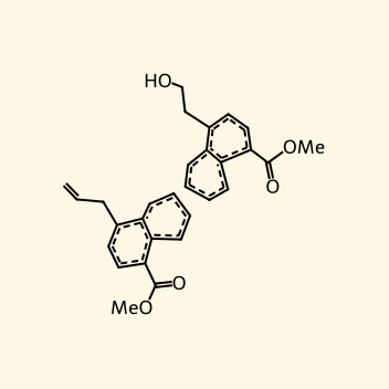 C=CCc1ccc(C(=O)OC)c2ccccc12.COC(=O)c1ccc(CCO)c2ccccc12